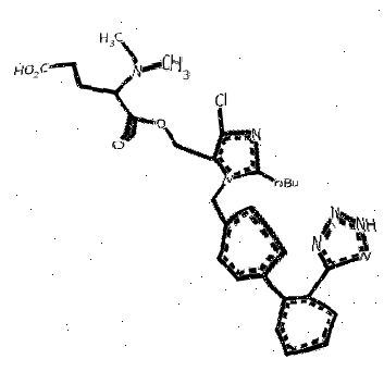 CCCCc1nc(Cl)c(COC(=O)C(CCC(=O)O)N(C)C)n1Cc1ccc(-c2ccccc2-c2nn[nH]n2)cc1